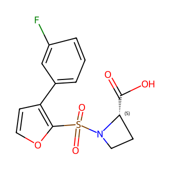 O=C(O)[C@@H]1CCN1S(=O)(=O)c1occc1-c1cccc(F)c1